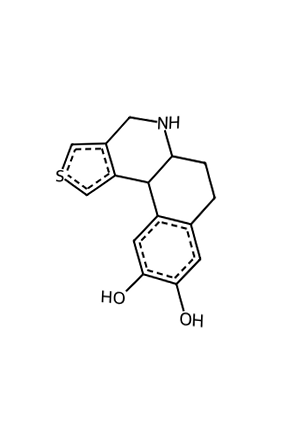 Oc1cc2c(cc1O)C1c3cscc3CNC1CC2